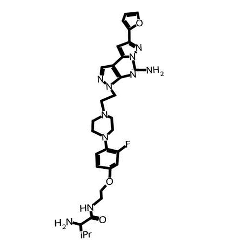 CC(C)C(N)C(=O)NCCOc1ccc(N2CCN(CCn3ncc4c3nc(N)n3nc(-c5ccco5)cc43)CC2)c(F)c1